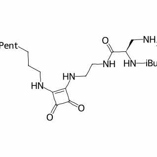 CCCC(C)CCCNc1c(NCCNC(=O)[C@@H](CN)NC(C)CC)c(=O)c1=O